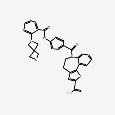 O=C(O)c1cc2c(s1)-c1ccccc1N(C(=O)c1ccc(NC(=O)c3cccnc3N3CC4(COC4)C3)cc1)CC2